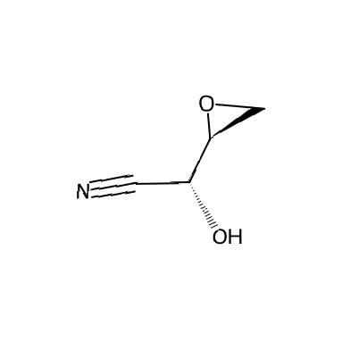 N#C[C@@H](O)[C@@H]1CO1